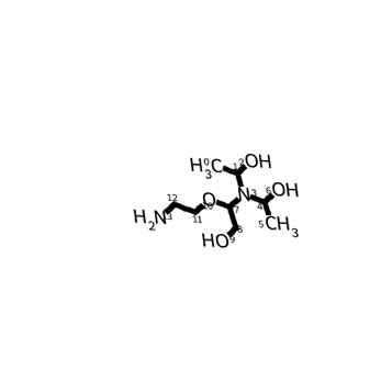 CC(O)N(C(C)O)C(CO)OCCN